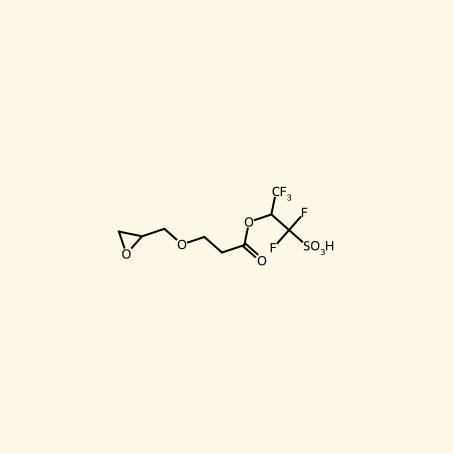 O=C(CCOCC1CO1)OC(C(F)(F)F)C(F)(F)S(=O)(=O)O